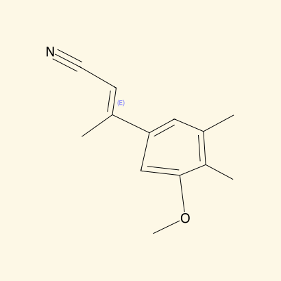 COc1cc(/C(C)=C/C#N)cc(C)c1C